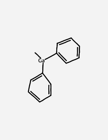 [CH3][Ga]([c]1ccccc1)[c]1ccccc1